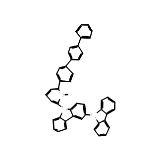 CN1C(n2c3ccccc3c3cc(-n4c5ccccc5c5ccccc54)ccc32)=CC=CC1c1ccc(-c2ccc(-c3ccccc3)cc2)cc1